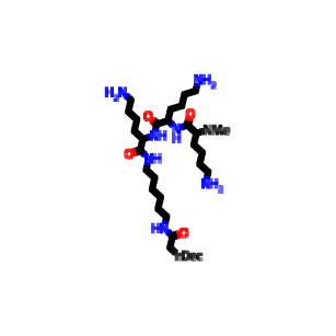 CCCCCCCCCCCC(=O)NCCCCCCNC(=O)C(CCCCN)NC(=O)C(CCCCN)NC(=O)C(CCCCN)NC